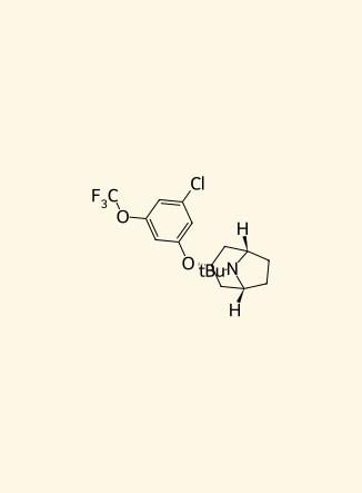 CC(C)(C)N1[C@@H]2CC[C@H]1C[C@@H](Oc1cc(Cl)cc(OC(F)(F)F)c1)C2